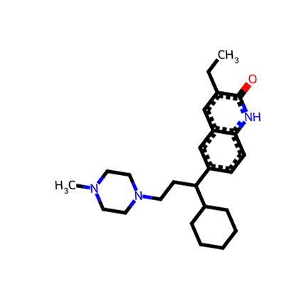 CCc1cc2cc(C(CCN3CCN(C)CC3)C3CCCCC3)ccc2[nH]c1=O